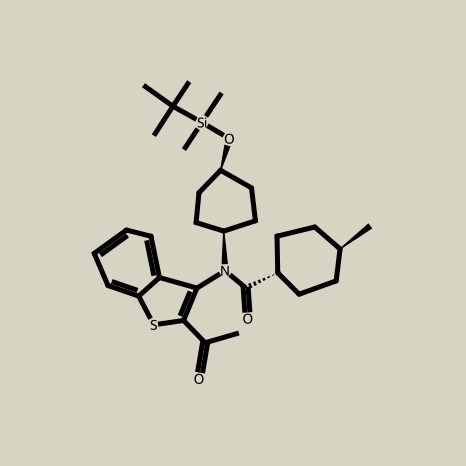 CC(=O)c1sc2ccccc2c1N(C(=O)[C@H]1CC[C@H](C)CC1)[C@H]1CC[C@@H](O[Si](C)(C)C(C)(C)C)CC1